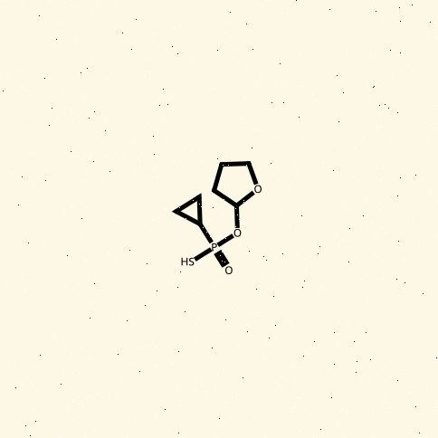 O=P(S)(OC1CCCO1)C1CC1